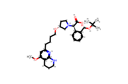 COc1cc(CCCCO[C@@H]2CCN([C@@H](C(=O)O)c3ccccc3COC(C)(C)C)C2)nc2c1CCCN2